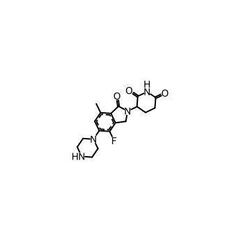 Cc1cc(N2CCNCC2)c(F)c2c1C(=O)N(C1CCC(=O)NC1=O)C2